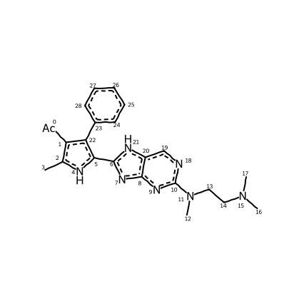 CC(=O)c1c(C)[nH]c(-c2nc3nc(N(C)CCN(C)C)ncc3[nH]2)c1-c1ccccc1